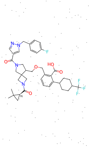 CC1(C)C[C@@H]1C(=O)N1CC2(CN(C(=O)c3cnn(Cc4ccc(F)cc4)c3)CC2COCc2cccc(C3CCC(C(F)(F)F)CC3)c2C(=O)O)C1